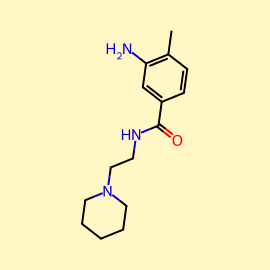 Cc1ccc(C(=O)NCCN2CCCCC2)cc1N